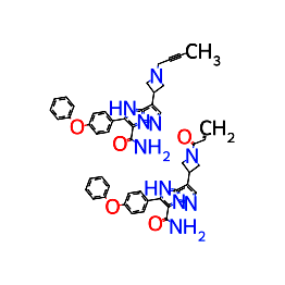 C=CC(=O)N1CC(c2cnn3c(C(N)=O)c(-c4ccc(Oc5ccccc5)cc4)[nH]c23)C1.CC#CCN1CC(c2cnn3c(C(N)=O)c(-c4ccc(Oc5ccccc5)cc4)[nH]c23)C1